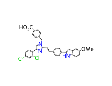 COc1ccc2[nH]c(-c3ccc(C=Cc4nc(-c5ccc(Cl)cc5Cl)cn4Cc4ccc(C(=O)O)cc4)cc3)cc2c1